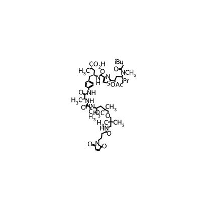 CC[C@H](C)CC(=O)N(C)C(C[C@@H](OC(C)=O)c1nc(C(=O)N[C@@H](Cc2ccc(NC(=O)[C@H](C)NC(=O)[C@H](C)NC(=O)CC(C)(C)COCC(C)(C)CNC(=O)CCCN3C(=O)C=CC3=O)cc2)C[C@H](C)C(=O)O)cs1)C(C)C